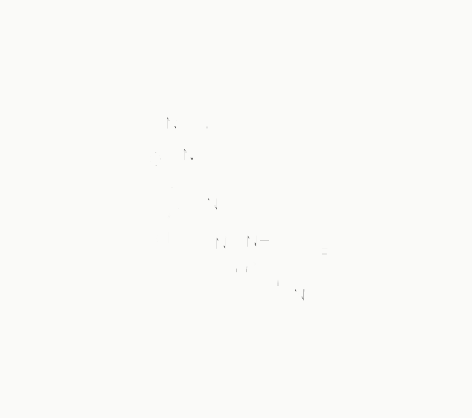 Cc1c(F)cncc1C(=O)Nc1cnc(-c2cc(Oc3ncccn3)ccc2Cl)cn1